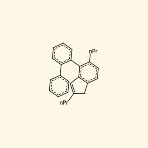 CCCC1=Cc2c(ccc(CCC)c2-c2ccccc2-c2ccccc2)[CH]1